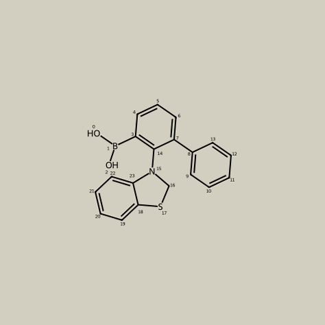 OB(O)c1cccc(-c2ccccc2)c1N1CSc2ccccc21